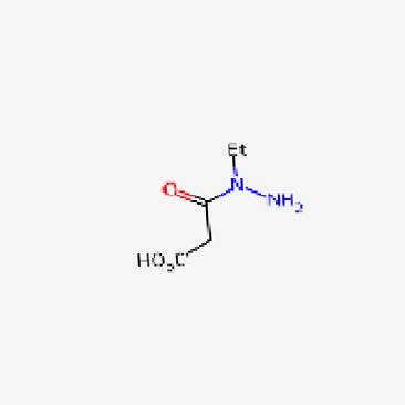 CCN(N)C(=O)CC(=O)O